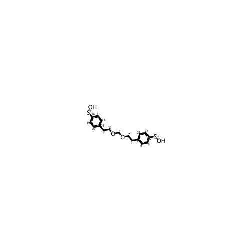 OSc1ccc(CCOCOCCc2ccc(SO)cc2)cc1